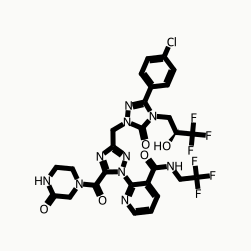 O=C1CN(C(=O)c2nc(Cn3nc(-c4ccc(Cl)cc4)n(C[C@H](O)C(F)(F)F)c3=O)nn2-c2ncccc2C(=O)NCC(F)(F)F)CCN1